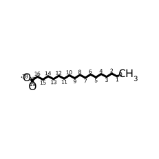 CCCCCCCCCCCCCCCCCC([O])=O